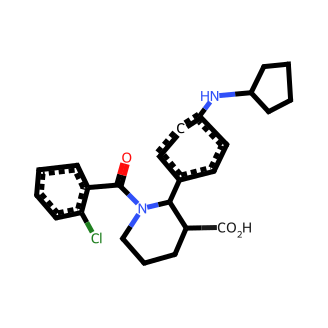 O=C(O)C1CCCN(C(=O)c2ccccc2Cl)C1c1ccc(NC2CCCC2)cc1